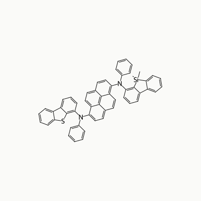 C[Si]1(C)c2ccccc2-c2cccc(N(c3ccccc3)c3ccc4ccc5c(N(c6ccccc6)c6cccc7c6sc6ccccc67)ccc6ccc3c4c65)c21